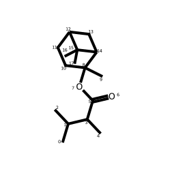 CC(C)C(C)C(=O)OC1(C)CCC2CC1C2(C)C